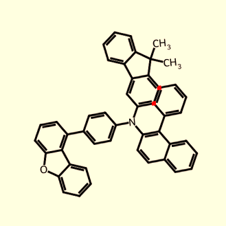 CC1(C)c2ccccc2-c2cc(N(c3ccc(-c4cccc5oc6ccccc6c45)cc3)c3ccc4ccccc4c3-c3ccccc3)ccc21